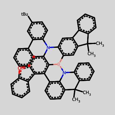 CC(C)(C)c1ccc(N2c3cc4c(cc3B3c5c2cc2oc6ccccc6c2c5-c2cccc5c2N3c2ccccc2C5(C)C)C(C)(C)c2ccccc2-4)c(-c2ccccc2)c1